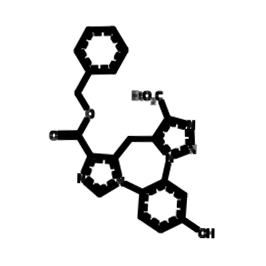 CCOC(=O)c1nnn2c1Cc1c(C(=O)OCc3ccccc3)ncn1-c1ccc(O)cc1-2